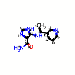 C=C(Nc1[nH]cnc1C(N)=O)c1cccnc1